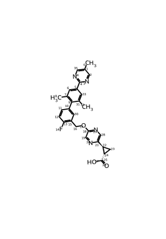 Cc1cnc(-c2cc(C)c(-c3ccc(F)c(COc4cnc([C@H]5C[C@@H]5C(=O)O)cn4)c3)c(C)c2)nc1